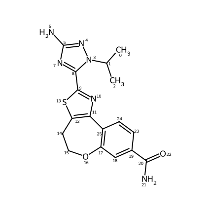 CC(C)n1nc(N)nc1-c1nc2c(s1)CCOc1cc(C(N)=O)ccc1-2